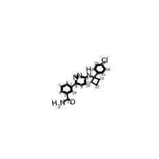 NC(=O)c1cccc(-c2ccc(NC3(c4ccc(Cl)cc4)CCC3)nn2)c1